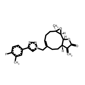 C=C1C(=O)O[C@H]2[C@H]1CC/C(Cn1cc(-c3ccc(F)c(C)c3)nn1)=C\CC[C@@]1(C)O[C@@H]21